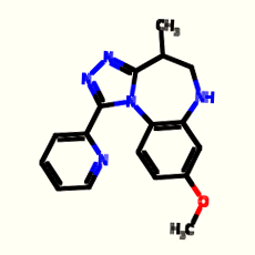 COc1ccc2c(c1)NCC(C)c1nnc(-c3ccccn3)n1-2